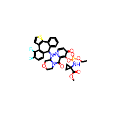 CCOP(=O)(NC1(C(=O)OC)CC1)Oc1c2n(ccc1=O)N(C1c3ccccc3-c3sccc3-c3c1ccc(F)c3F)C1COCCN1C2=O